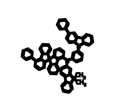 CC1(C)c2ccccc2-c2ccc(N(c3cccc(-n4c5ccccc5c5cc(-c6ccccc6)ccc54)c3)c3cccc4c3-c3ccccc3C43c4ccccc4-c4c(-c5ccccc5)cccc43)cc21